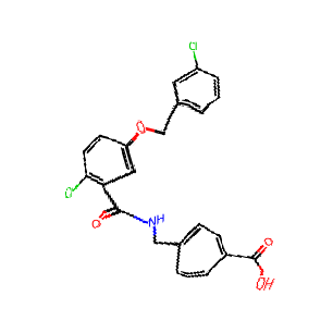 O=C(O)c1ccc(CNC(=O)c2cc(OCc3cccc(Cl)c3)ccc2Cl)cc1